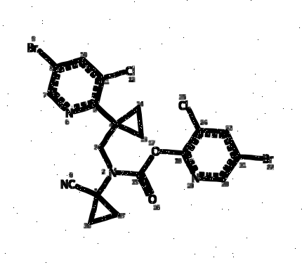 N#CC1(N(CC2(c3ncc(Br)cc3Cl)CC2)C(=O)Oc2ncc(Br)cc2Cl)CC1